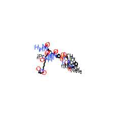 CN[C@H](C(=O)N[C@H](C(=O)N(C)[C@H](C=C(C)C(=O)NS(=O)(=O)c1ccc(NC(=O)[C@H](CCCNC(N)=O)NC(=O)[C@@H](NC(=O)CCCCCN2C(=O)C=CC2=O)C(C)C)cc1)C(C)C)C(C)(C)C)C(C)(C)c1ccccc1